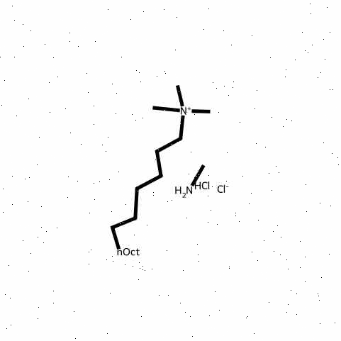 CCCCCCCCCCCCCC[N+](C)(C)C.CN.Cl.[Cl-]